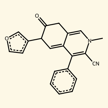 CN1C=C2CC(=O)C(c3ccoc3)C=C2C(c2ccccc2)=C1C#N